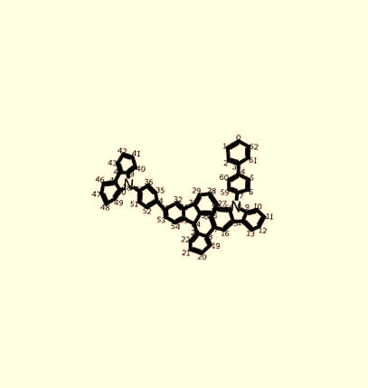 c1ccc(-c2ccc(-n3c4ccccc4c4cc(-c5ccccc5C5c6ccccc6-c6cc(-c7ccc(-n8c9ccccc9c9ccccc98)cc7)ccc65)ccc43)cc2)cc1